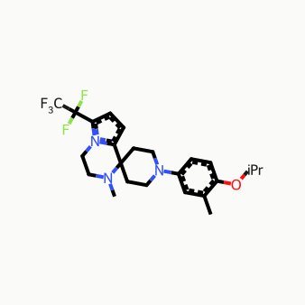 Cc1cc(N2CCC3(CC2)c2ccc(C(F)(F)C(F)(F)F)n2CCN3C)ccc1OC(C)C